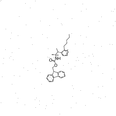 CCCCCc1sccc1C(C)[C@H](C)NC(=O)OCC1c2ccccc2-c2ccccc21